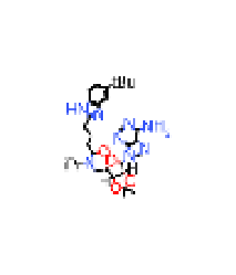 CC(C)N(C[C@H]1O[C@@H](n2cnc3c(N)ncnc32)[C@@H]2OC(C)(C)O[C@@H]21)C(=O)CCCc1nc2cc(C(C)(C)C)ccc2[nH]1